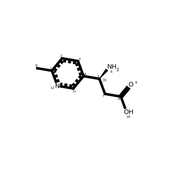 Cc1ccc([C@@H](N)CC(=O)O)cn1